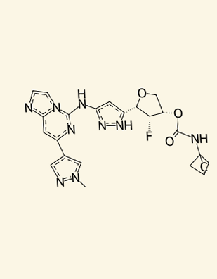 Cn1cc(-c2cc3nccn3c(Nc3cc([C@@H]4OC[C@H](OC(=O)NC56CC(C5)C6)[C@@H]4F)[nH]n3)n2)cn1